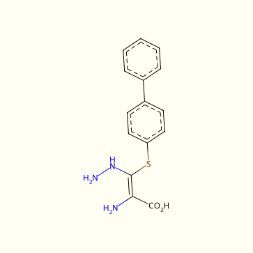 NN/C(Sc1ccc(-c2ccccc2)cc1)=C(\N)C(=O)O